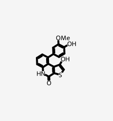 COc1cc(-c2cccc3[nH]c(=O)c4scc(O)c4c23)ccc1O